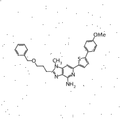 COc1ccc(-c2ccc(-c3cc4c(nc(CCCOCc5ccccc5)n4C)c(N)n3)s2)cc1